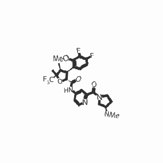 CN[C@@H]1CCN(C(=O)c2cc(NC(=O)[C@@H]3O[C@@](C)(C(F)(F)F)[C@@H](C)[C@H]3c3ccc(F)c(F)c3OC)ccn2)C1